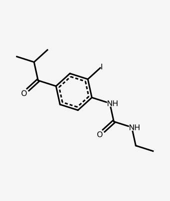 CCNC(=O)Nc1ccc(C(=O)C(C)C)cc1I